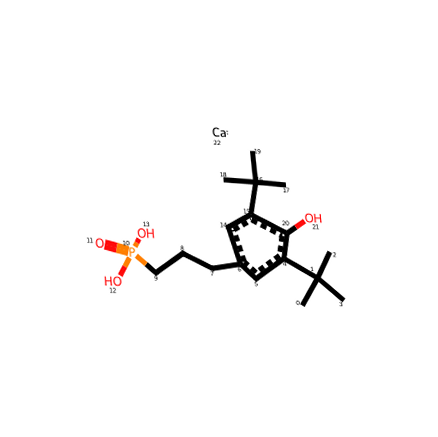 CC(C)(C)c1cc(CCCP(=O)(O)O)cc(C(C)(C)C)c1O.[Ca]